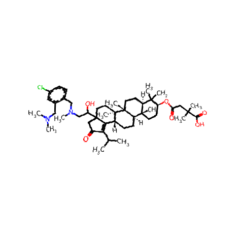 CC(C)C1=C2[C@H]3CC[C@@H]4[C@@]5(C)CC[C@H](OC(=O)CC(C)(C)C(=O)O)C(C)(C)[C@@H]5CC[C@@]4(C)[C@]3(C)CCC2(C(O)CN(C)Cc2ccc(Cl)cc2CN(C)C)CC1=O